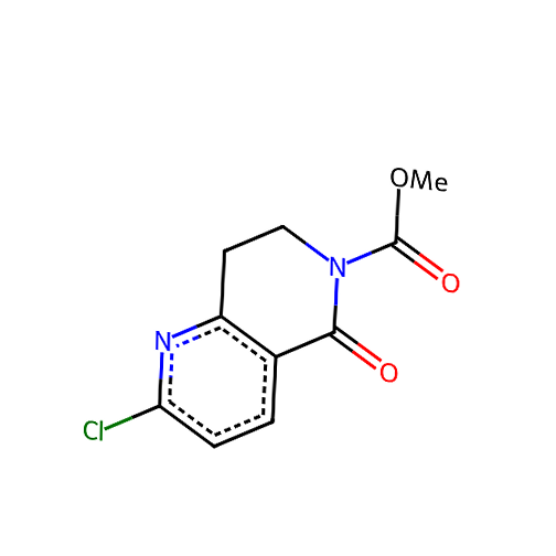 COC(=O)N1CCc2nc(Cl)ccc2C1=O